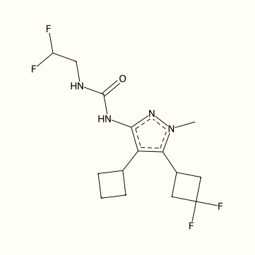 Cn1nc(NC(=O)NCC(F)F)c(C2CCC2)c1C1CC(F)(F)C1